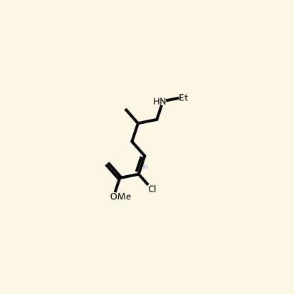 C=C(OC)/C(Cl)=C\CC(C)CNCC